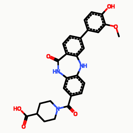 COc1cc(-c2ccc3c(c2)Nc2ccc(C(=O)N4CCC(C(=O)O)CC4)cc2NC3=O)ccc1O